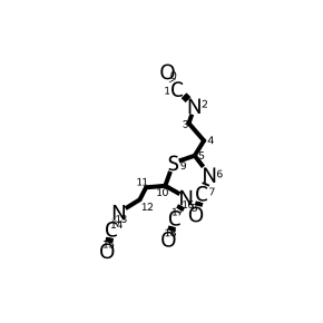 O=C=NCCC(N=C=O)SC(CCN=C=O)N=C=O